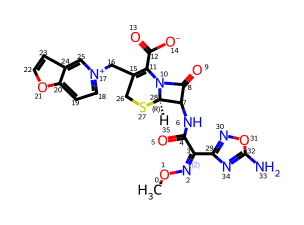 CO/N=C(\C(=O)NC1C(=O)N2C(C(=O)[O-])=C(C[n+]3ccc4occc4c3)CS[C@H]12)c1noc(N)n1